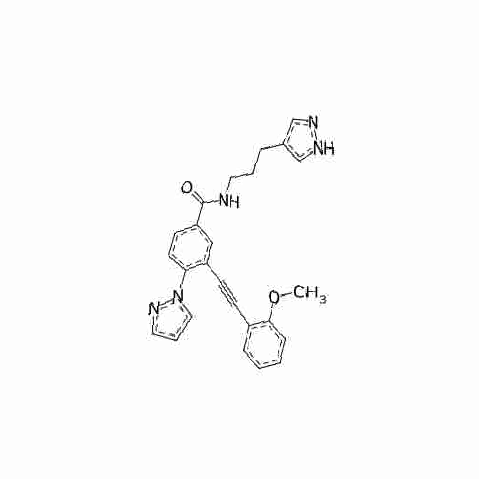 COc1ccccc1C#Cc1cc(C(=O)NCCCc2cn[nH]c2)ccc1-n1cccn1